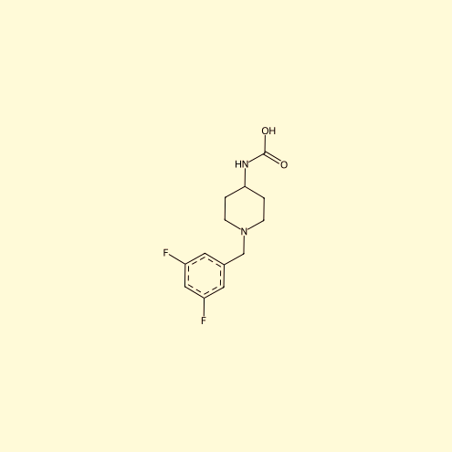 O=C(O)NC1CCN(Cc2cc(F)cc(F)c2)CC1